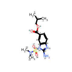 CC(C)COC(=O)c1ccc2nc(N)n(S(=O)(=O)N(C)C)c2c1